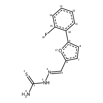 NC(=S)NN=Cc1ccc(-c2ccccc2F)o1